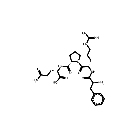 N=C(N)NCCC[C@H](NC(=O)[C@@H](N)Cc1ccccc1)C(=O)N1CCC[C@H]1C(=O)N[C@@H](CCC(N)=O)C(=O)O